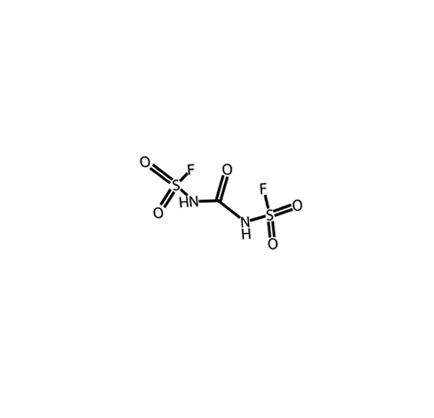 O=C(NS(=O)(=O)F)NS(=O)(=O)F